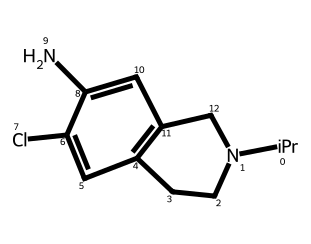 CC(C)N1CCc2cc(Cl)c(N)cc2C1